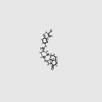 O=C1COc2ccc(CNC3CCN(CC4Cn5c(=O)cnc6ccc(F)c4c65)CC3)nc2N1